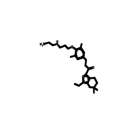 CCc1sc(C(=O)CCc2cc(C)c(OCCCNCCN)c(C)c2)c2c1CC(C)(C)CC2